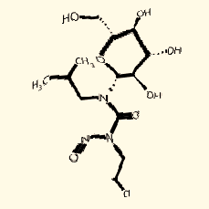 CC(C)CN(C(=O)N(CCCl)N=O)[C@@H]1O[C@H](CO)[C@@H](O)[C@H](O)[C@H]1O